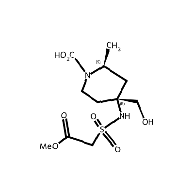 COC(=O)CS(=O)(=O)N[C@]1(CO)CCN(C(=O)O)[C@@H](C)C1